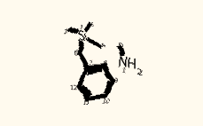 CN.C[Si](C)(C)Cc1ccccc1